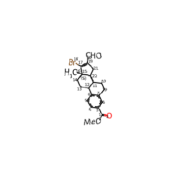 COC(=O)c1ccc2c(c1)CCC1C2CC[C@]2(C)C(Br)=C(C=O)CC12